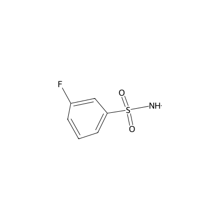 [NH]S(=O)(=O)c1cccc(F)c1